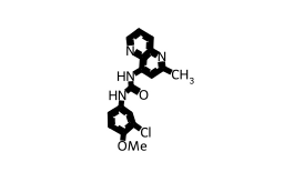 COc1ccc(NC(=O)Nc2cc(C)nc3cccnc23)cc1Cl